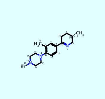 Cc1cc(C2=NC[C@@H](C)CC2)ccc1N1CCN(C(C)C)CC1